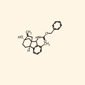 C=C1C[C@]23C[C@@]1(O)CC[C@H]2c1cccc(C)c1[C@@H]3NC(=O)OCc1ccccc1